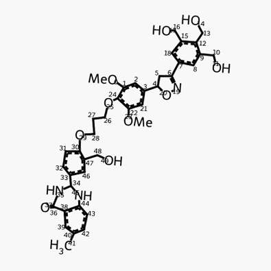 COc1cc(C2CC(c3cc(CO)c(CO)c(CO)c3)=NO2)cc(OC)c1OCCCOc1ccc(C2NC(=O)c3cc(C)ccc3N2)cc1CO